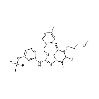 COCCCn1c(=O)c2c(nc(Nc3cccc(OC(F)(F)F)c3)n2Cc2ccc(C)cc2)n(C)c1=O